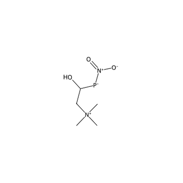 C[N+](C)(C)CC(O)[P-][N+](=O)[O-]